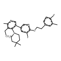 Cc1cc(CCOc2ncc(-c3cnc(C)c(CC(=O)O)c3N3CCC(C)(C)CC3)cc2F)ccc1F